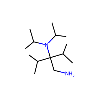 CC(C)N(C(C)C)C(CN)(C(C)C)C(C)C